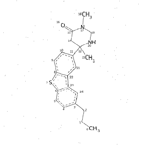 CCCc1ccc2sc3ccc(C4(C)CC(=O)N(C)CN4)cc3c2c1